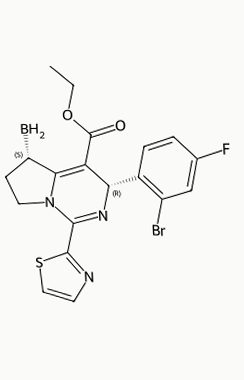 B[C@H]1CCN2C(c3nccs3)=N[C@@H](c3ccc(F)cc3Br)C(C(=O)OCC)=C12